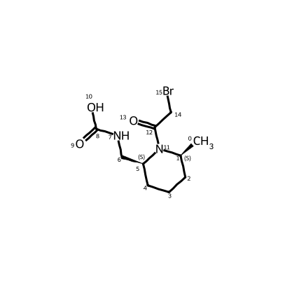 C[C@H]1CCC[C@@H](CNC(=O)O)N1C(=O)CBr